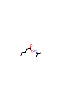 CCCCC(=O)ON=C(C)C